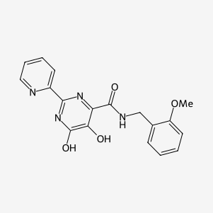 COc1ccccc1CNC(=O)c1nc(-c2ccccn2)nc(O)c1O